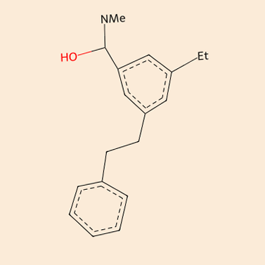 CCc1cc(CCc2ccccc2)cc(C(O)NC)c1